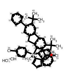 Cl.Cl.[CH2]=[Zr]([C]1=CC=CC1)([c]1ccc(Cl)cc1)([c]1ccc(Cl)cc1)[c]1c2c(cc(C(C)(C)C)c1-c1ccccc1)-c1cc(C(C)(C)C)c(-c3ccccc3)cc1C2